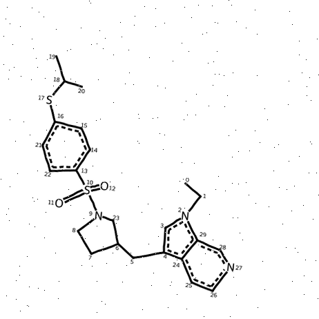 CCn1cc(CC2CCN(S(=O)(=O)c3ccc(SC(C)C)cc3)C2)c2ccncc21